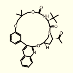 CC(=O)[C@@H]1C[C@@H]2CN1C(=O)[C@H](C(C)(C)C)NC(=O)OCC(C)(C)COc1cccc(c1)-c1cc3ccccc3nc1O2